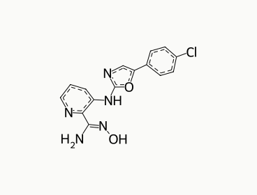 NC(=NO)c1ncccc1Nc1ncc(-c2ccc(Cl)cc2)o1